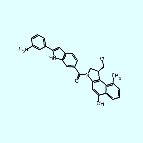 Cc1cccc2c(O)cc3c(c12)[C@H](CCl)CN3C(=O)c1ccc2cc(-c3cccc(N)c3)[nH]c2c1